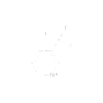 FC(F)(F)C1=[C]NCC=C1